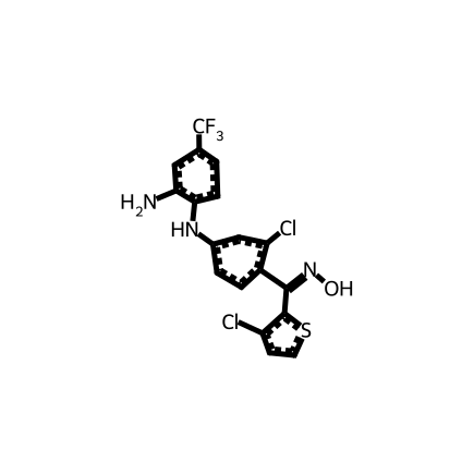 Nc1cc(C(F)(F)F)ccc1Nc1ccc(C(=NO)c2sccc2Cl)c(Cl)c1